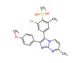 COc1ccc(-c2nc3nc(C)ccn3c2-c2cc(C)c(S(C)(=O)=O)c(Cl)c2)cc1